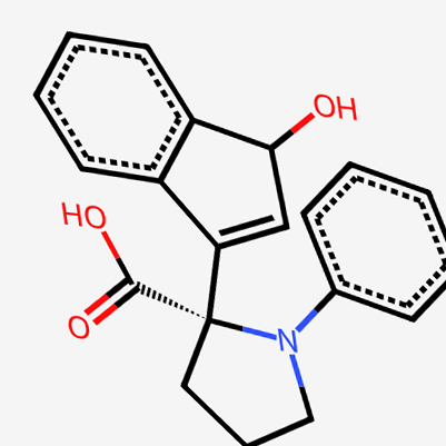 O=C(O)[C@@]1(C2=CC(O)c3ccccc32)CCCN1c1ccccc1